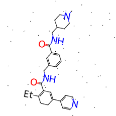 CCC1=C(C(=O)NCc2cccc(C(=O)NCC3CCN(C)CC3)c2)C=C(c2ccncc2)CC1